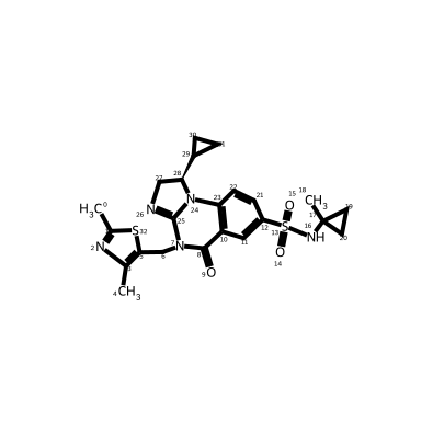 Cc1nc(C)c(CN2C(=O)c3cc(S(=O)(=O)NC4(C)CC4)ccc3N3C2=NC[C@H]3C2CC2)s1